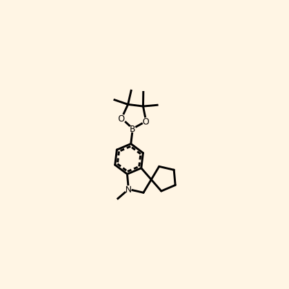 CN1CC2(CCCC2)c2cc(B3OC(C)(C)C(C)(C)O3)ccc21